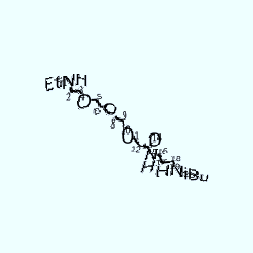 CCNCCOCCOCCOCCC(=O)NCCCNC(C)CC